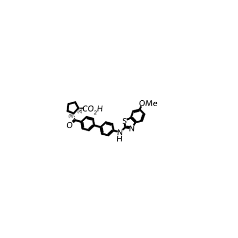 COc1ccc2nc(Nc3ccc(-c4ccc(C(=O)[C@@H]5CCC[C@H]5C(=O)O)cc4)cc3)sc2c1